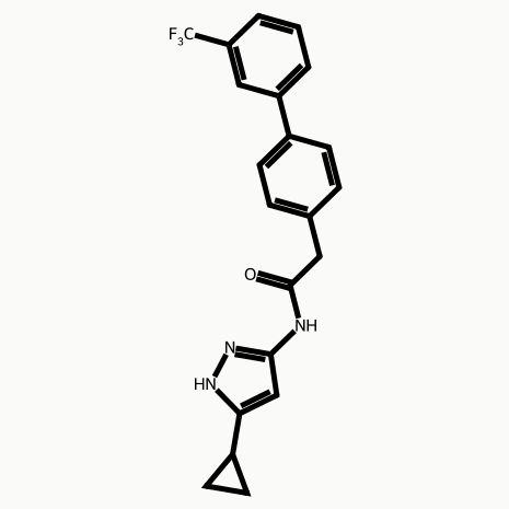 O=C(Cc1ccc(-c2cccc(C(F)(F)F)c2)cc1)Nc1cc(C2CC2)[nH]n1